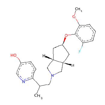 COc1cccc(F)c1O[C@H]1C[C@@H]2CN(CC(C)c3ccc(O)cn3)C[C@@H]2C1